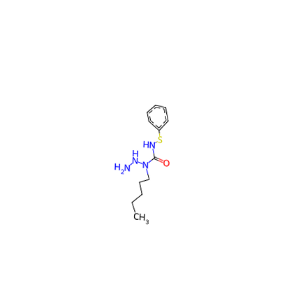 CCCCCN(NN)C(=O)NSc1ccccc1